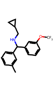 Cc1cccc(C(NCC2CC2)c2cccc(OC(F)(F)F)c2)c1